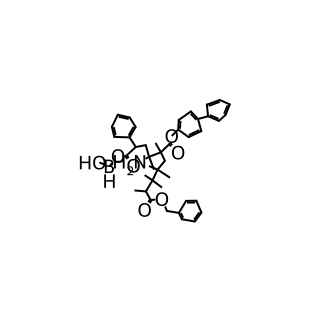 CC(C(=O)OCc1ccccc1)C(C)(C)C(C)(C)CC(C)(C(=O)Oc1ccc(-c2ccccc2)cc1)C(C)(N)CC(C(=O)OBO)c1ccccc1